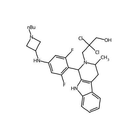 CCCCN1CC(Nc2cc(F)c(C3c4[nH]c5ccccc5c4CC(C)N3CC(Cl)(Cl)CO)c(F)c2)C1